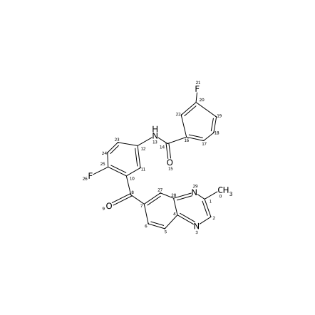 Cc1cnc2ccc(C(=O)c3cc(NC(=O)c4cccc(F)c4)ccc3F)cc2n1